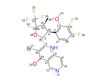 COc1c([C@H]2[C@H](c3[nH]c4ccncc4c(=O)c3Br)O[C@@](C)(C(F)(F)F)[C@H]2C)ccc(F)c1F